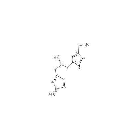 CC(Cc1ccn(C)n1)Cn1cc(CC(C)(C)C)cn1